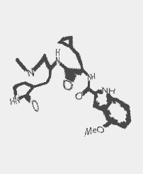 C=NCC(CC1CCNC1=O)NC(=O)C(CC1CC1)NC(=O)c1cc2c(OC)cccc2[nH]1